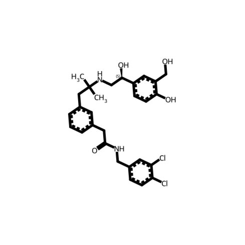 CC(C)(Cc1cccc(CC(=O)NCc2ccc(Cl)c(Cl)c2)c1)NC[C@@H](O)c1ccc(O)c(CO)c1